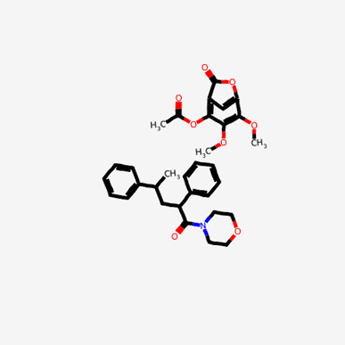 CC(CC(C(=O)N1CCOCC1)c1ccccc1)c1ccccc1.COc1c2cc(c(OC(C)=O)c1OC)C(=O)O2